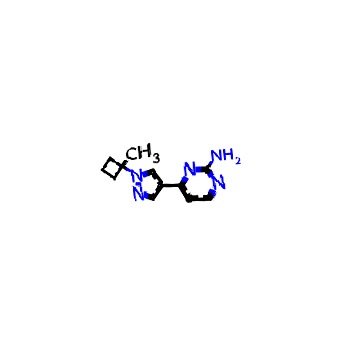 CC1(n2cc(-c3ccnc(N)n3)cn2)CCC1